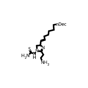 CCCCCCCCCCCCCCCC=CC1CN(NC(N)=S)C(CCN)=N1